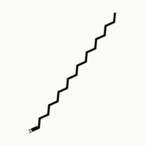 [CH2]CCCCCCCCCCCCCCCCC=S